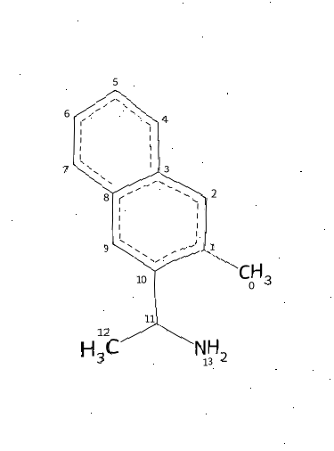 Cc1cc2ccccc2cc1C(C)N